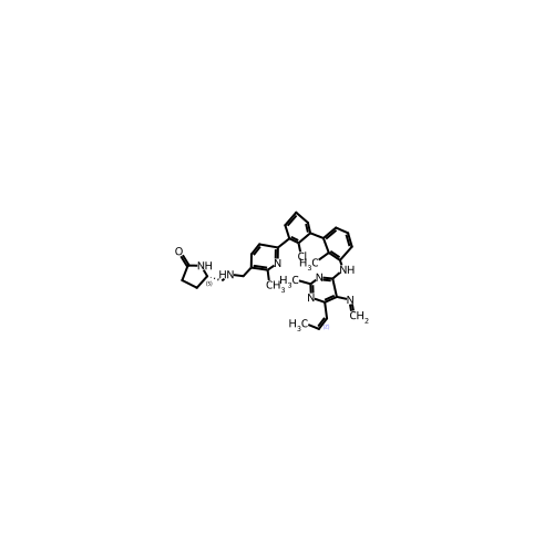 C=Nc1c(/C=C\C)nc(C)nc1Nc1cccc(-c2cccc(-c3ccc(CNC[C@@H]4CCC(=O)N4)c(C)n3)c2Cl)c1C